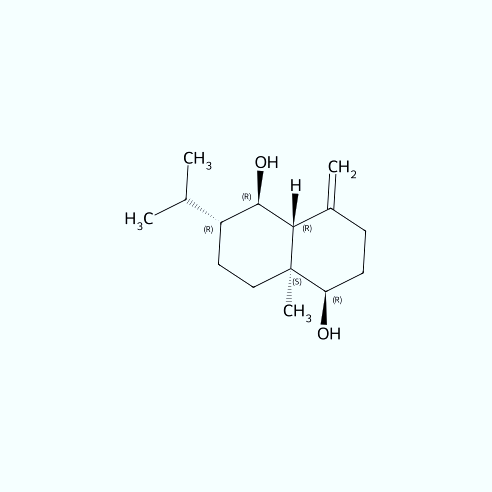 C=C1CC[C@@H](O)[C@@]2(C)CC[C@H](C(C)C)[C@@H](O)[C@H]12